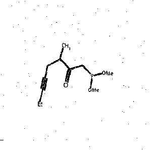 CCC#CCC(C)C(=O)CP(OC)OC